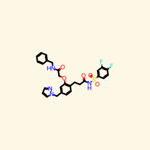 O=C(COc1cc(Cn2cccn2)ccc1CCC(=O)NS(=O)(=O)c1ccc(F)c(F)c1)NCc1ccccc1